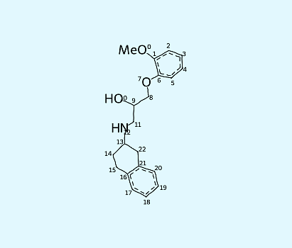 COc1ccccc1OCC(O)CNC1CCc2ccccc2C1